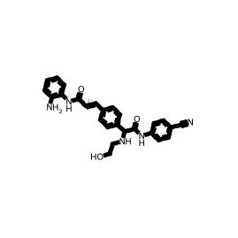 N#Cc1ccc(NC(=O)C(NCCO)c2ccc(/C=C/C(=O)Nc3ccccc3N)cc2)cc1